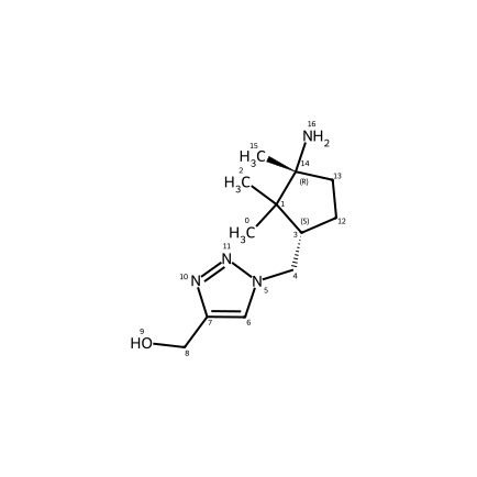 CC1(C)[C@@H](Cn2cc(CO)nn2)CC[C@@]1(C)N